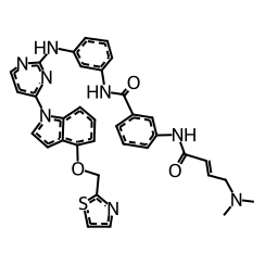 CN(C)C/C=C/C(=O)Nc1cccc(C(=O)Nc2cccc(Nc3nccc(-n4ccc5c(OCc6nccs6)cccc54)n3)c2)c1